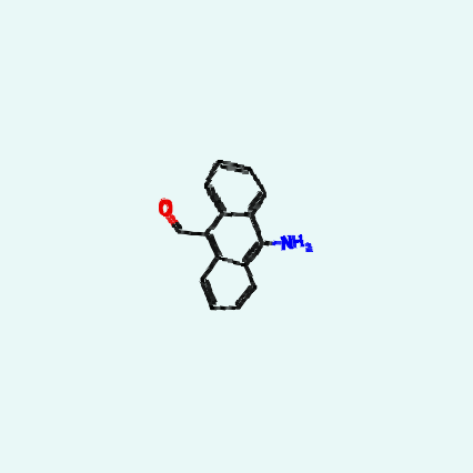 Nc1c2ccccc2c(C=O)c2ccccc12